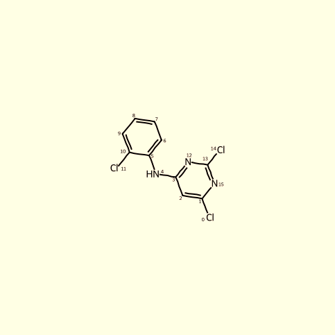 Clc1cc(Nc2ccccc2Cl)nc(Cl)n1